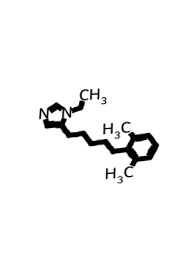 CCn1cncc1CCCCCc1c(C)cccc1C